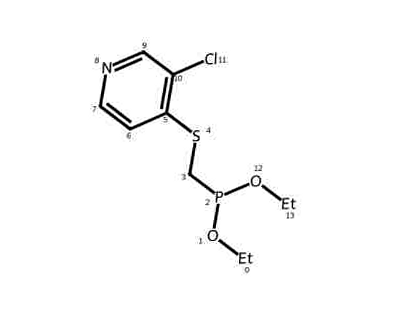 CCOP(CSc1ccncc1Cl)OCC